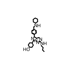 CCCCNC1=NN2C(C3CCC(O)CC3)=NC(c3ccc(CNC4CCCCC4)cc3)C2C=N1